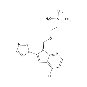 C[Si](C)(C)CCOCn1c(-n2ccnc2)cc2c(Cl)ccnc21